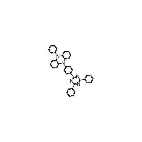 c1ccc(-c2nc(-c3ccccc3)nc(-c3ccc(N4c5ccccc5N(c5ccccc5)c5ccccc54)cc3)n2)cc1